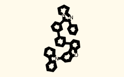 c1ccc(-c2nc3ccccn3c2-c2cccc(-c3cccc(-c4cccc5oc6ccc(-n7c8ccccc8c8ccccc87)cc6c45)c3)c2)cc1